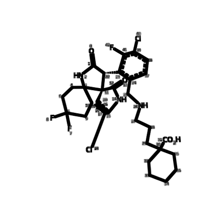 O=C1NC2(CCC(F)(F)CC2)[C@@]2(C(=O)Nc3cc(Cl)ccc32)[C@H]1c1c(CNCCCC2(C(=O)O)CCCCC2)ccc(Cl)c1F